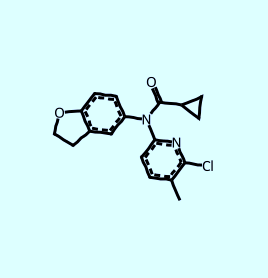 Cc1ccc(N(C(=O)C2CC2)c2ccc3c(c2)CCO3)nc1Cl